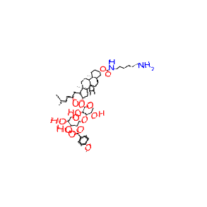 COc1ccc(C(=O)OC2C(OC3C(O)COC(O[C@H]4CC5[C@@H]6CC=C7C[C@@H](OC(=O)NCCCCCCN)CC[C@]7(C)C6CC[C@]5(C)C4CC(=O)CCC(C)C)C3O)OCC(O)C2O)cc1